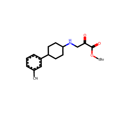 CC(C)(C)OC(=O)C(=O)CNC1CCC(c2cccc(C#N)c2)CC1